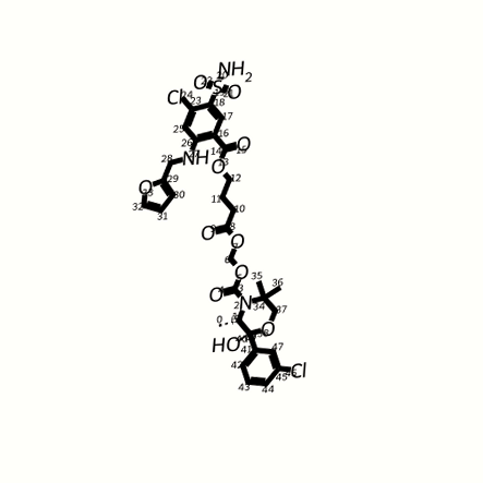 C[C@@H]1N(C(=O)OCOC(=O)CCCOC(=O)c2cc(S(N)(=O)=O)c(Cl)cc2NCc2ccco2)C(C)(C)CO[C@@]1(O)c1cccc(Cl)c1